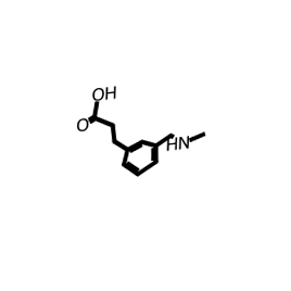 CNCc1cccc(CCC(=O)O)c1